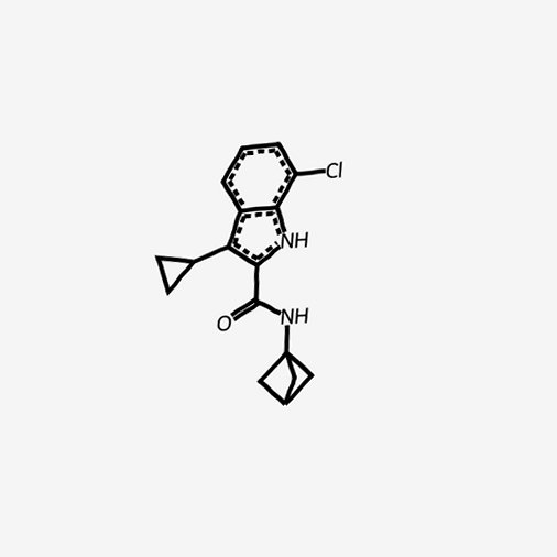 O=C(NC12CC(C1)C2)c1[nH]c2c(Cl)cccc2c1C1CC1